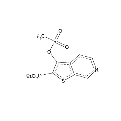 CCOC(=O)c1sc2cnccc2c1OS(=O)(=O)C(F)(F)F